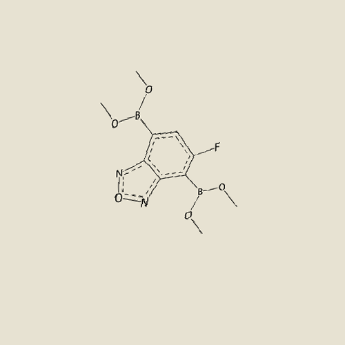 COB(OC)c1cc(F)c(B(OC)OC)c2nonc12